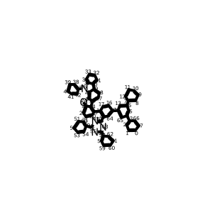 c1ccc(-c2cc(-c3ccccc3)cc(-c3ccc(-c4cccc5oc6c(ccc7c8ccccc8n(-c8ccccc8)c76)c45)c(-c4nc(-c5ccccc5)nc(-c5ccccc5)n4)c3)c2)cc1